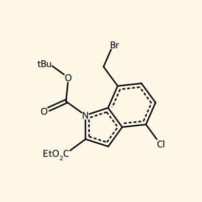 CCOC(=O)c1cc2c(Cl)ccc(CBr)c2n1C(=O)OC(C)(C)C